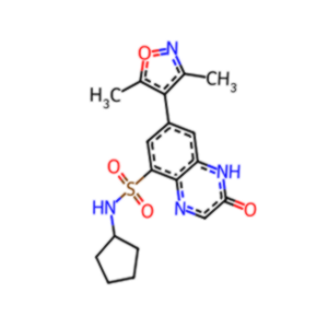 Cc1noc(C)c1-c1cc(S(=O)(=O)NC2CCCC2)c2ncc(=O)[nH]c2c1